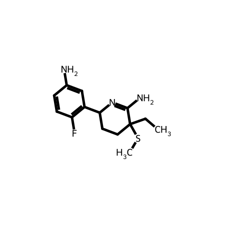 CCC1(SC)CCC(c2cc(N)ccc2F)N=C1N